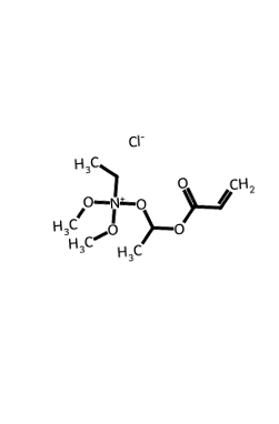 C=CC(=O)OC(C)O[N+](CC)(OC)OC.[Cl-]